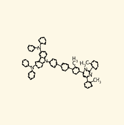 Cc1cc(-c2cc(-c3ccccc3C)nc(-c3ccccc3C)n2)ccc1-c1ccc(-c2ccc(-n3c4ccc(N(c5ccccc5)c5ccccc5)cc4c4cc(N(c5ccccc5)c5ccccc5)ccc43)cc2)cc1